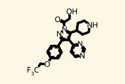 O=C(CO)n1nc(-c2ccc(OCC(F)(F)F)cc2)c(-c2ccncn2)c1C1CCNCC1